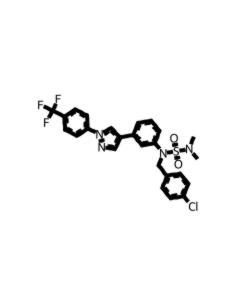 CN(C)S(=O)(=O)N(Cc1ccc(Cl)cc1)c1cccc(-c2cnn(-c3ccc(C(F)(F)F)cc3)c2)c1